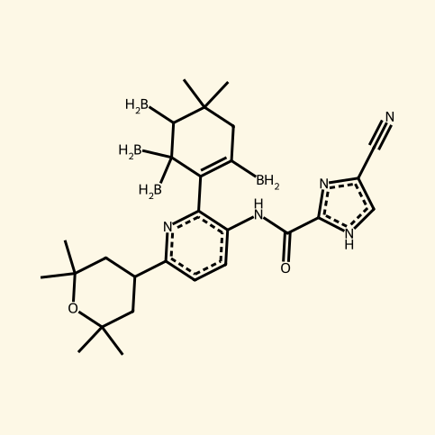 BC1=C(c2nc(C3CC(C)(C)OC(C)(C)C3)ccc2NC(=O)c2nc(C#N)c[nH]2)C(B)(B)C(B)C(C)(C)C1